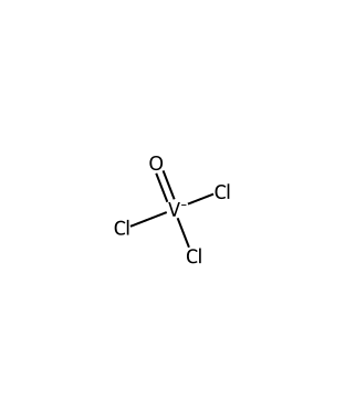 [O]=[V-]([Cl])([Cl])[Cl]